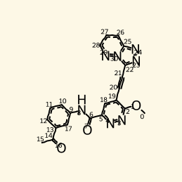 COc1nnc(C(=O)Nc2cccc(C(C)=O)c2)cc1C#Cc1nnc2cccnn12